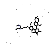 C=C/C=C(\C=C/C)CCCCc1cc2nccc([C@@H](CC(=C)C3CC3)c3ccc4c(c3CC)C=CC(C)(C)C4)c2cc1CC